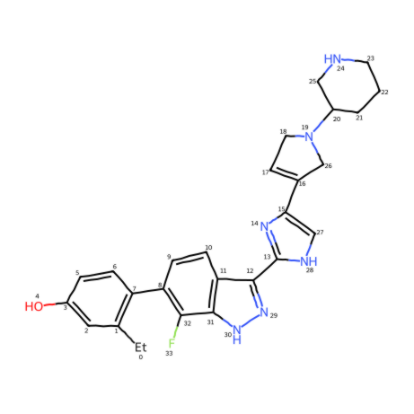 CCc1cc(O)ccc1-c1ccc2c(-c3nc(C4=CCN(C5CCCNC5)C4)c[nH]3)n[nH]c2c1F